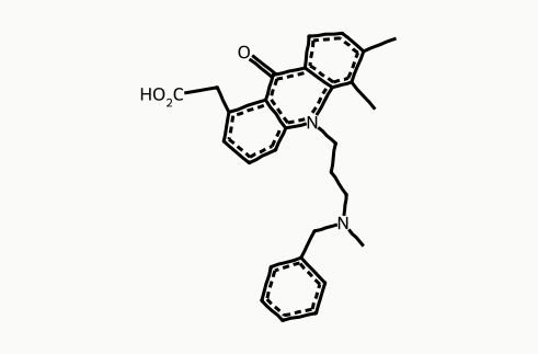 Cc1ccc2c(=O)c3c(CC(=O)O)cccc3n(CCCN(C)Cc3ccccc3)c2c1C